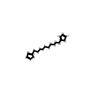 C1=CCC(CCCCCCCCCCC2=CC=CC2)=C1